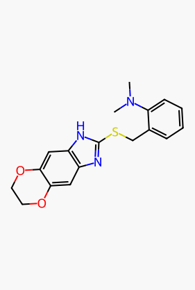 CN(C)c1ccccc1CSc1nc2cc3c(cc2[nH]1)OCCO3